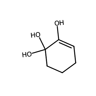 OC1=CCCCC1(O)O